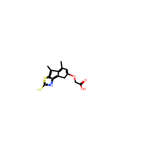 CC1=C2C(=c3nc(S)sc3=C2C)CC(OCC(=O)O)=C1